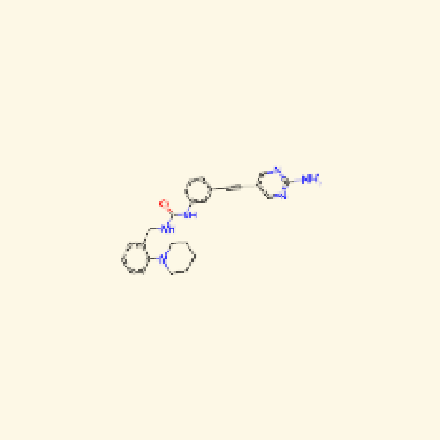 Nc1ncc(C#Cc2cccc(NC(=O)NCc3ccccc3N3CCCCC3)c2)cn1